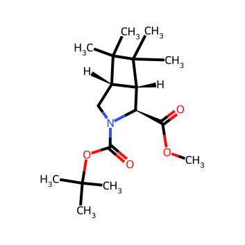 COC(=O)[C@@H]1[C@@H]2[C@H](CN1C(=O)OC(C)(C)C)C(C)(C)C2(C)C